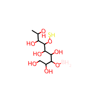 BOC(C(O)CO)C(O)C(O)C(OS)C(O)C(C)O